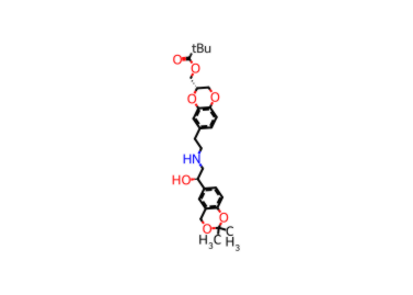 CC1(C)OCc2cc([C@@H](O)CNCCc3ccc4c(c3)O[C@H](COC(=O)C(C)(C)C)CO4)ccc2O1